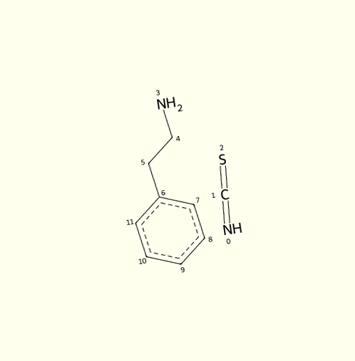 N=C=S.NCCc1ccccc1